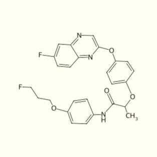 CC(Oc1ccc(Oc2cnc3cc(F)ccc3n2)cc1)C(=O)Nc1ccc(OCCCF)cc1